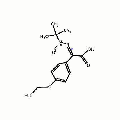 CCSc1ccc(/C(=N\[S@+]([O-])C(C)(C)C)C(=O)O)cc1